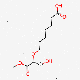 COC(=O)C(CO)OCCCCCCC(=O)O